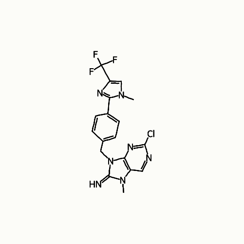 Cn1cc(C(F)(F)F)nc1-c1ccc(Cn2c(=N)n(C)c3cnc(Cl)nc32)cc1